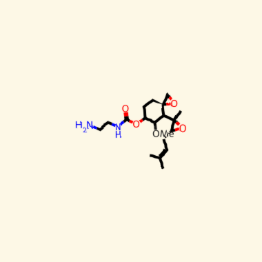 COC1C(OC(=O)NCCN)CC[C@]2(CO2)C1C1(C)O[C@@H]1CC=C(C)C